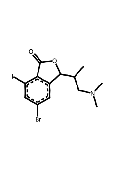 CC(CN(C)C)C1OC(=O)c2c(I)cc(Br)cc21